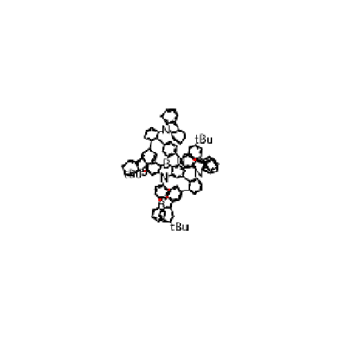 CC(C)(C)c1cc(-c2ccccc2)cc(N2c3ccc(-c4c(-c5ccc6sc7ccccc7c6c5)cccc4-n4c5ccccc5c5ccccc54)cc3B3c4ccc(C(C)(C)C)cc4N(c4ccc(-c5ccccc5)cc4)c4cc(-c5c(-c6ccc7sc8ccc(C(C)(C)C)cc8c7c6)cccc5-n5c6ccccc6c6ccccc65)cc2c43)c1